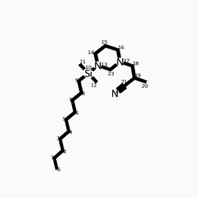 CCCCCCCCCC[Si](C)(C)N1CCCN(CC(C)C#N)C1